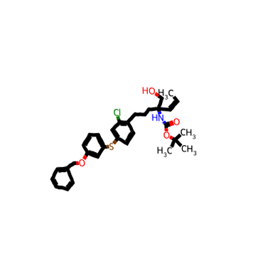 C/C=C\C(CO)(CCCc1ccc(Sc2cccc(OCc3ccccc3)c2)cc1Cl)NC(=O)OC(C)(C)C